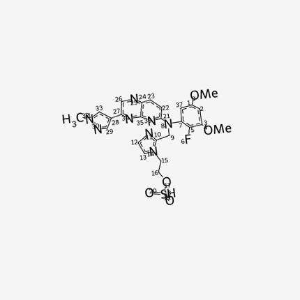 COc1cc(OC)c(F)c(N(Cc2nccn2CCO[SH](=O)=O)c2ccc3ncc(-c4cnn(C)c4)nc3n2)c1